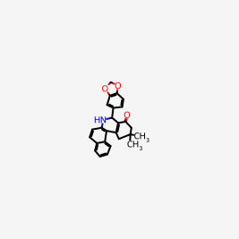 CC1(C)CC(=O)C2=C(C1)c1c(ccc3ccccc13)NC2c1ccc2c(c1)OCO2